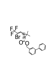 CC1(C)[C@H](C=C(Br)C(F)(F)F)[C@H]1C(=O)OCc1cccc(-c2ccccc2)c1